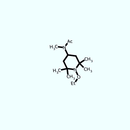 CCON1C(C)(C)CC(N(C)C(C)=O)CC1(C)C